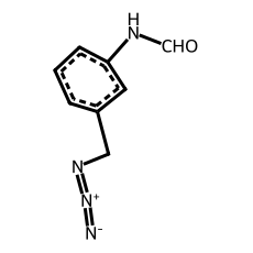 [N-]=[N+]=NCc1cccc(NC=O)c1